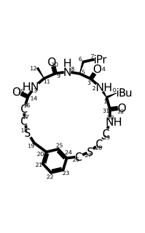 CC[C@H](C)[C@@H]1NC(=O)[C@H](CC(C)C)NC(=O)[C@H](C)NC(=O)CCSCc2cccc(c2)CSCCNC1=O